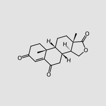 C[C@]12CCC(=O)C=C1C(=O)C[C@@H]1[C@H]2CC[C@]2(C)C(=O)OC[C@@H]12